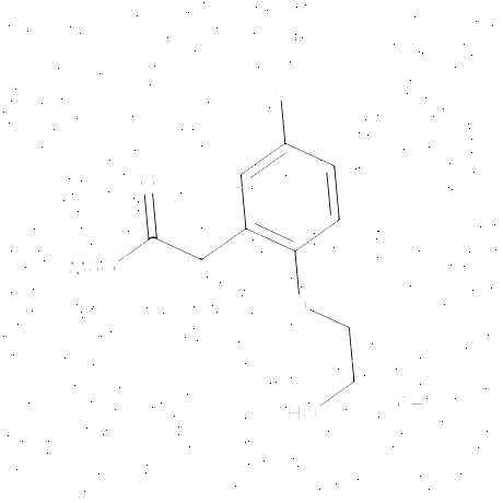 COC(=O)Cc1cc(Cl)ccc1OC[C@H](C)O